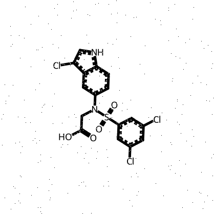 O=C(O)CN(c1ccc2[nH]cc(Cl)c2c1)S(=O)(=O)c1cc(Cl)cc(Cl)c1